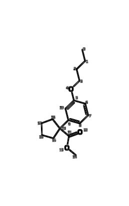 CCCCOc1cccc(C2(C(=O)OC)CCCC2)c1